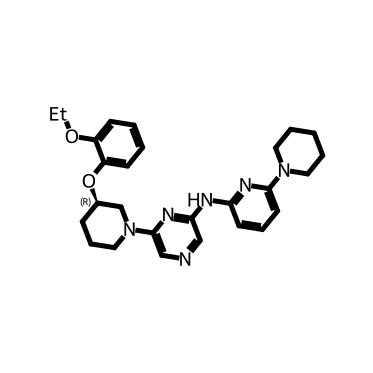 CCOc1ccccc1O[C@@H]1CCCN(c2cncc(Nc3cccc(N4CCCCC4)n3)n2)C1